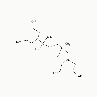 CC(C)(CCC(C)(C)C(CCO)CCO)CN(CCO)CCO